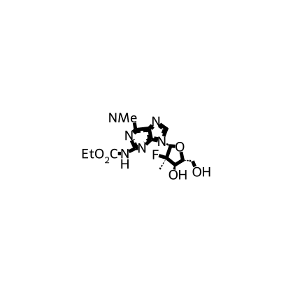 CCOC(=O)Nc1nc(NC)c2ncn([C@@H]3O[C@H](CO)[C@@H](O)[C@@]3(C)F)c2n1